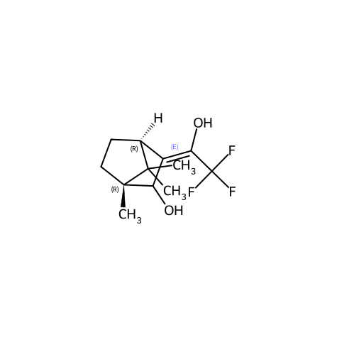 CC1(C)[C@H]2CC[C@@]1(C)C(O)/C2=C(/O)C(F)(F)F